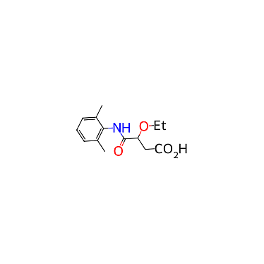 CCOC(CC(=O)O)C(=O)Nc1c(C)cccc1C